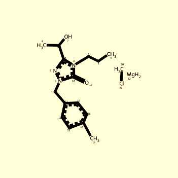 CCCn1c(C(C)O)nn(Cc2ccc(C)cc2)c1=O.CCl.[MgH2]